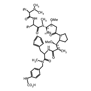 CC[C@H](C)[C@@H]([C@@H](CC(=O)N1CCCC1[C@H](OC)[C@@H](C)C(=O)NC(Cc1ccccc1)C(=O)N(C)Cc1ccc(NC(=O)O)cc1)OC)N(C)C(=O)C(NC(=O)C(C(C)C)N(C)C)C(C)C